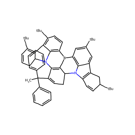 CC(C)(C)C1=C2c3c(C(C)(C)C)ccc4c3N(C3=C5B4c4cc(C(C)(C)C)cc6c7c(n(c46)C5CC=C3C(C)(c3ccccc3)c3ccccc3)C=CC(C(C)(C)C)C7)C2CC=C1